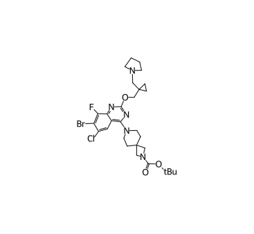 CC(C)(C)OC(=O)N1CC2(CCN(c3nc(OCC4(CN5CCCC5)CC4)nc4c(F)c(Br)c(Cl)cc34)CC2)C1